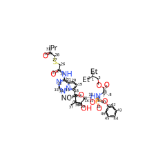 CCC(CC)COC(=O)[C@H](C)NP(=O)(OC[C@H]1O[C@@](C#N)(c2ccc3c(NC(=O)CSCC(=O)C(C)C)ncnn23)[C@H](C)[C@@H]1O)Oc1ccccc1